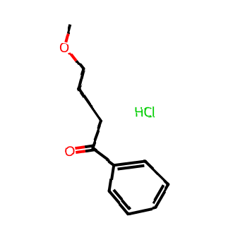 COCCCC(=O)c1ccccc1.Cl